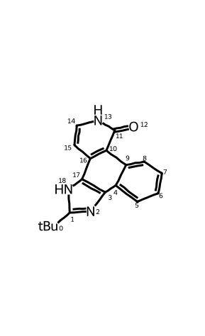 CC(C)(C)c1nc2c3ccccc3c3c(=O)[nH]ccc3c2[nH]1